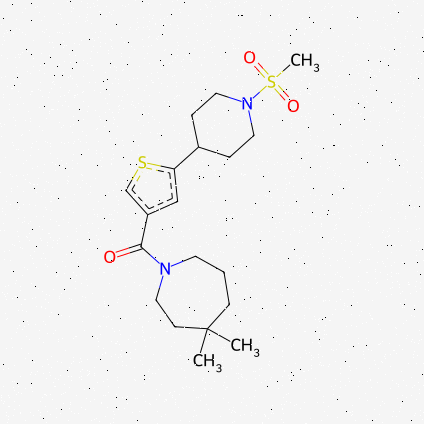 CC1(C)CCCN(C(=O)c2csc(C3CCN(S(C)(=O)=O)CC3)c2)CC1